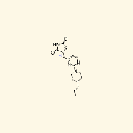 CCCC1CCN(c2nccc(/C=C3\SC(=O)NC3=O)n2)CC1